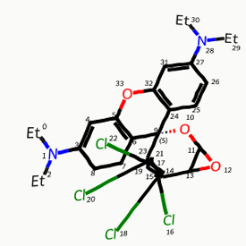 CCN(CC)C1=CC2=C(CC1)[C@@]1(OC3OC3c3c(Cl)c(Cl)c(Cl)c(Cl)c31)c1ccc(N(CC)CC)cc1O2